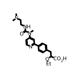 CCOC(Cc1ccc(-c2cc(N(C)C(=O)NCCN(C)C)ccn2)cc1)C(=O)O